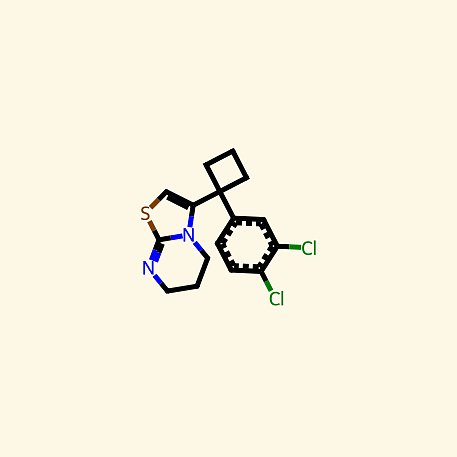 Clc1ccc(C2(C3=CSC4=NCCCN34)CCC2)cc1Cl